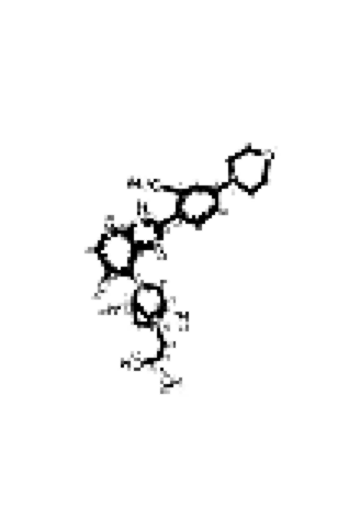 COc1cc(N2CCOCC2)ccc1-c1nc2c(N3C[C@@H]4C[C@H]3CN4C[C@H](C)O)c(Cl)cnc2[nH]1